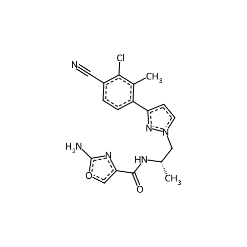 Cc1c(-c2ccn(C[C@H](C)NC(=O)c3coc(N)n3)n2)ccc(C#N)c1Cl